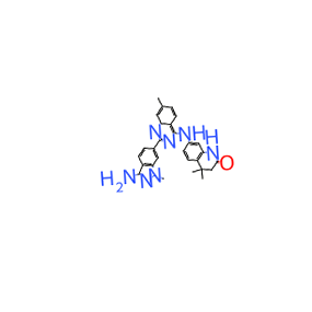 Cc1ccc2c(Nc3ccc4c(c3)NC(=O)CC4(C)C)nc(-c3ccc4c(N)nn(C)c4c3)nc2c1